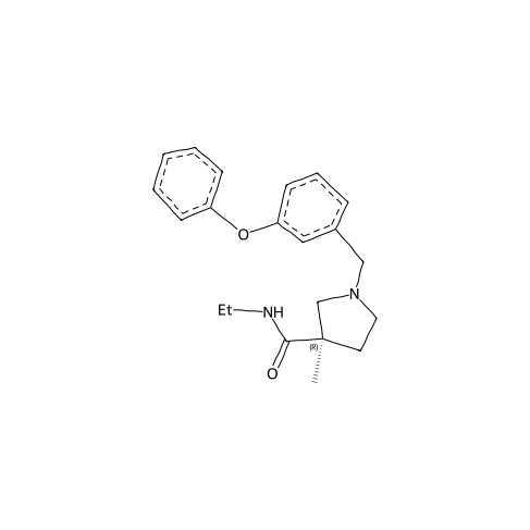 CCNC(=O)[C@]1(C)CCN(Cc2cccc(Oc3ccccc3)c2)C1